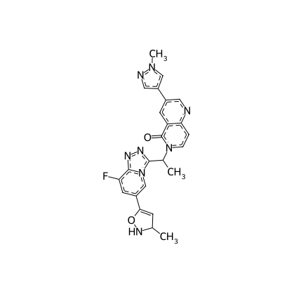 CC1C=C(c2cc(F)c3nnc(C(C)n4ccc5ncc(-c6cnn(C)c6)cc5c4=O)n3c2)ON1